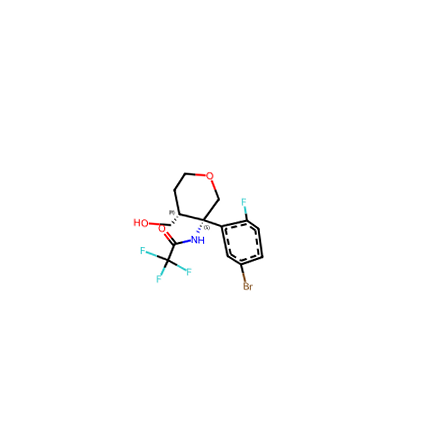 O=C(N[C@@]1(c2cc(Br)ccc2F)COCC[C@H]1CO)C(F)(F)F